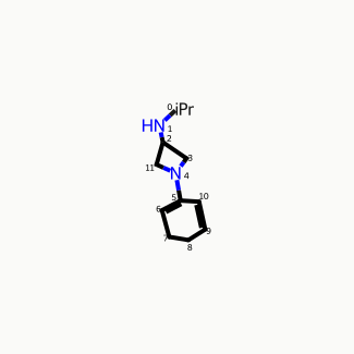 CC(C)NC1CN(C2=CCCC=C2)C1